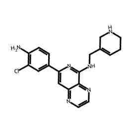 Nc1ccc(-c2cc3nccnc3c(NCC3=CCCNC3)n2)cc1Cl